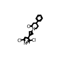 O=C1CC(c2ccccc2)CCN1C12CC(c3cc(Cl)nnc3Cl)(C1)C2